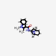 Cc1c(C(=O)N[C@H]2C[C@H]3CCC[C@@H](C2)N3C)c2ccccc2n1C